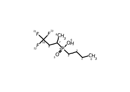 CCCCP(=O)(O)C(C)CC(F)(F)F